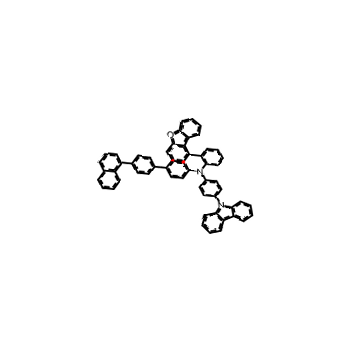 c1ccc(N(c2ccc(-c3ccc(-c4cccc5ccccc45)cc3)cc2)c2ccc(-n3c4ccccc4c4ccccc43)cc2)c(-c2cccc3oc4ccccc4c23)c1